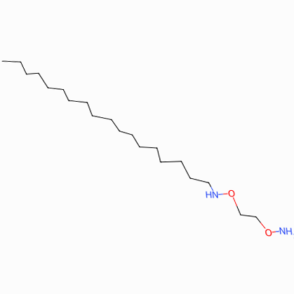 CCCCCCCCCCCCCCCCCCNOCCON